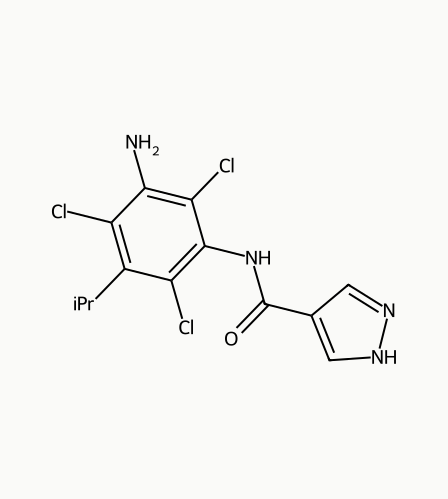 CC(C)c1c(Cl)c(N)c(Cl)c(NC(=O)c2cn[nH]c2)c1Cl